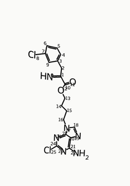 N=C(Cc1cccc(Cl)c1)C(=O)OCCCCn1cnc2c(N)nc(Cl)nc21